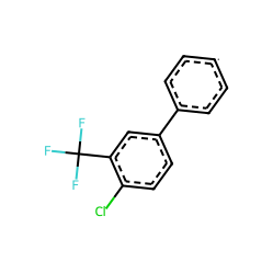 FC(F)(F)c1cc(-c2cc[c]cc2)ccc1Cl